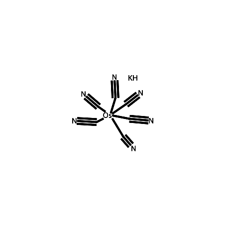 N#[C][Os]([C]#N)([C]#N)([C]#N)([C]#N)[C]#N.[KH]